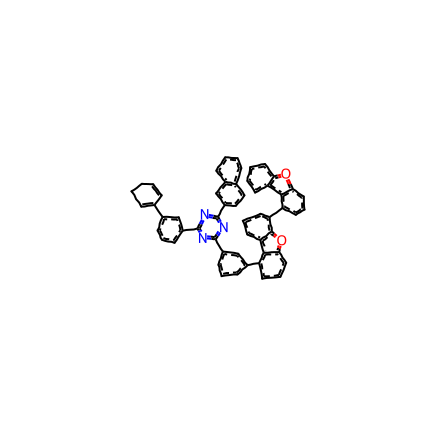 C1=CC(c2cccc(-c3nc(-c4cccc(-c5cccc6oc7c(-c8cccc9oc%10ccccc%10c89)cccc7c56)c4)nc(-c4ccc5ccccc5c4)n3)c2)=CCC1